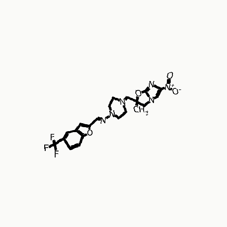 CC1(CN2CCN(N=Cc3cc4cc(C(F)(F)F)ccc4o3)CC2)Cn2cc([N+](=O)[O-])nc2O1